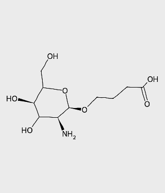 N[C@H]1C(O)[C@@H](O)C(CO)O[C@H]1OCCCC(=O)O